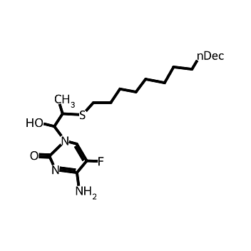 CCCCCCCCCCCCCCCCCCSC(C)C(O)n1cc(F)c(N)nc1=O